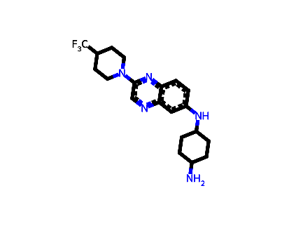 NC1CCC(Nc2ccc3nc(N4CCC(C(F)(F)F)CC4)cnc3c2)CC1